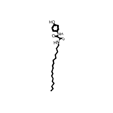 CCCCCCCCCCCCCCCCCCNC(=O)C(=O)Nc1ccc(O)cc1